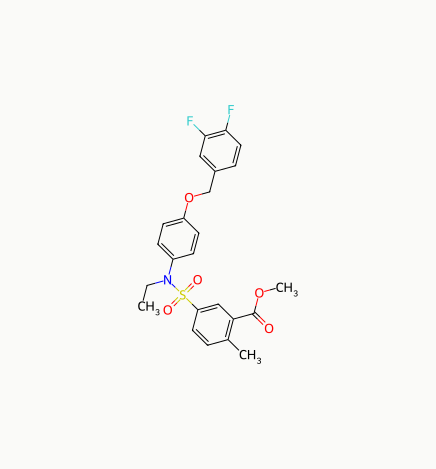 CCN(c1ccc(OCc2ccc(F)c(F)c2)cc1)S(=O)(=O)c1ccc(C)c(C(=O)OC)c1